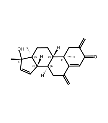 C=C1C[C@@]2(C)C(=CC1=O)C(=C)C[C@@H]1[C@@H]2CC[C@@]2(C)[C@H]1C=C[C@]2(C)O